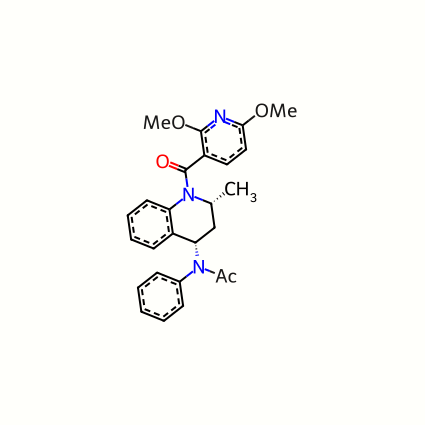 COc1ccc(C(=O)N2c3ccccc3[C@@H](N(C(C)=O)c3ccccc3)C[C@H]2C)c(OC)n1